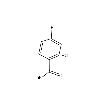 CCCC(=O)c1ccc(F)cc1.Cl